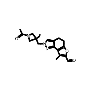 CC(=O)N1CC(F)(Cn2cc3c(n2)-c2c(oc(C=O)c2C)CC3)C1